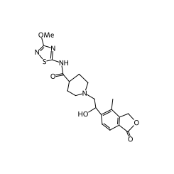 COc1nsc(NC(=O)C2CCN(CC(O)c3ccc4c(c3C)COC4=O)CC2)n1